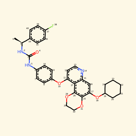 C[C@H](NC(=O)Nc1ccc(Oc2ccnc3cc(OC4CCCCC4)c4c(c23)OCCO4)cc1)c1ccc(F)cc1